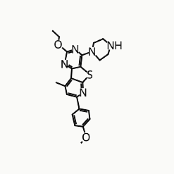 CCOc1nc(N2CCNCC2)c2sc3nc(-c4ccc(OC)cc4)cc(C)c3c2n1